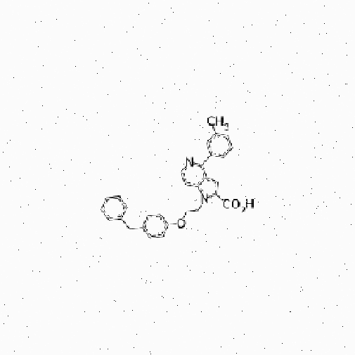 Cc1cccc(-c2nccc3c2cc(C(=O)O)n3CCOc2ccc(Cc3ccccc3)cc2)c1